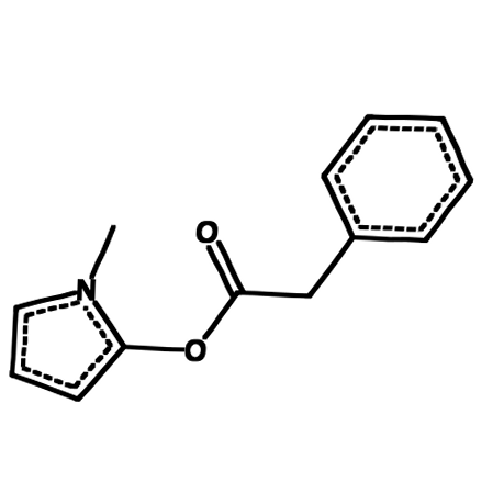 Cn1cccc1OC(=O)Cc1ccccc1